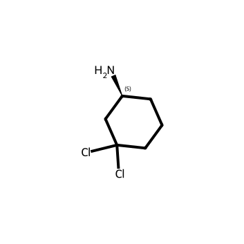 N[C@H]1CCCC(Cl)(Cl)C1